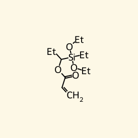 C=CC(=O)OC(CC)[Si](CC)(OCC)OCC